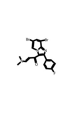 CN(C)/C=C/C(=O)c1c(-c2ccc(F)cc2)nc2c(Br)cc(Br)cn12